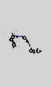 COc1cc2ncnc(Nc3ccc(F)c(Cl)c3)c2cc1NC(=O)/C=C/CN1CCC(NC(=O)COCCSc2cccc3c2CN(C2CCC(=O)NC2=O)C3=O)CC1